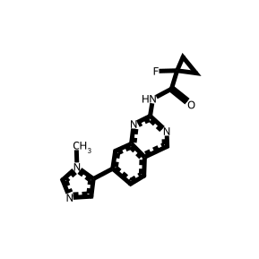 Cn1cncc1-c1ccc2cnc(NC(=O)C3(F)CC3)nc2c1